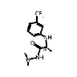 C[C@H](Nc1cccc(C(F)(F)F)c1)C(=O)NN(C)C